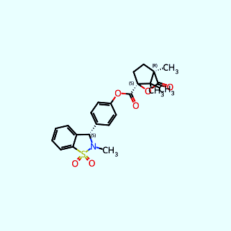 CN1[C@@H](c2ccc(OC(=O)[C@@]34CC[C@@](C)(C(=O)O3)C4(C)C)cc2)c2ccccc2S1(=O)=O